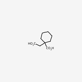 O=C(O)CC1(C(=O)O)CCCCC1